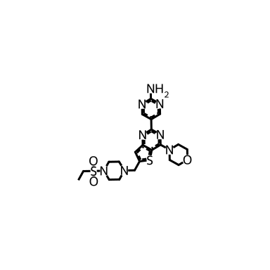 CCS(=O)(=O)N1CCN(Cc2cc3nc(-c4cnc(N)nc4)nc(N4CCOCC4)c3s2)CC1